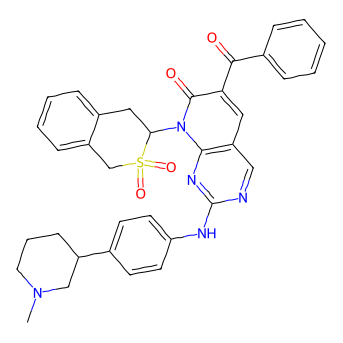 CN1CCCC(c2ccc(Nc3ncc4cc(C(=O)c5ccccc5)c(=O)n(C5Cc6ccccc6CS5(=O)=O)c4n3)cc2)C1